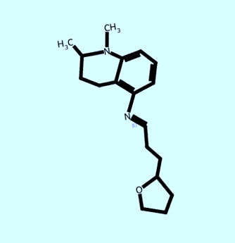 CC1CCc2c(/N=C/CCC3CCCO3)cccc2N1C